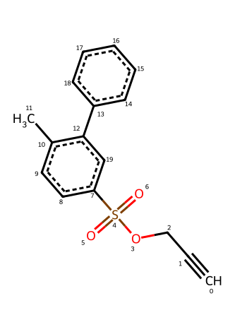 C#CCOS(=O)(=O)c1ccc(C)c(-c2ccccc2)c1